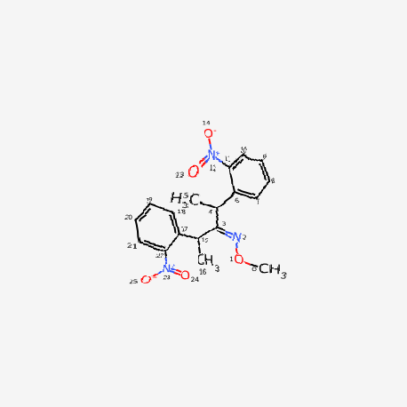 CON=C(C(C)c1ccccc1[N+](=O)[O-])C(C)c1ccccc1[N+](=O)[O-]